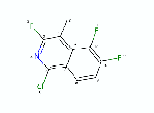 Cc1c(F)nc(Cl)c2ccc(F)c(F)c12